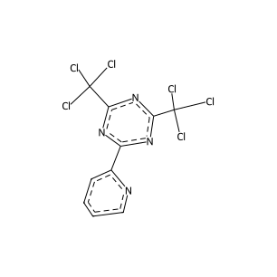 ClC(Cl)(Cl)c1nc(-c2ccccn2)nc(C(Cl)(Cl)Cl)n1